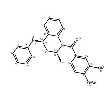 COc1ccc(C(=O)N2c3ccccc3[C@H](Nc3ccccc3)C[C@@H]2C)cc1OC